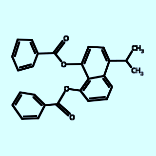 CC(C)c1ccc(OC(=O)c2ccccc2)c2c(OC(=O)c3ccccc3)cccc12